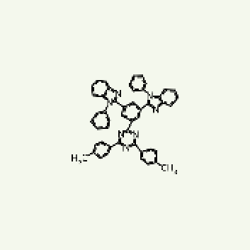 Cc1ccc(-c2nc(-c3ccc(C)cc3)nc(-c3cc(-c4nc5ccccc5n4-c4ccccc4)cc(-c4nc5ccccc5n4-c4ccccc4)c3)n2)cc1